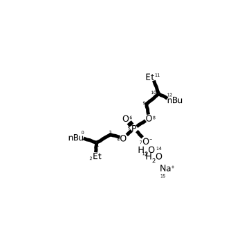 CCCCC(CC)COP(=O)([O-])OCC(CC)CCCC.O.O.[Na+]